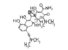 CN(C)C#Cc1ccc(O)c2c1C[C@H]1C[C@H]3[C@H](N(C)C)C(=O)C(C(N)=O)=C(O)[C@@]3(O)C(=O)C1=C2O